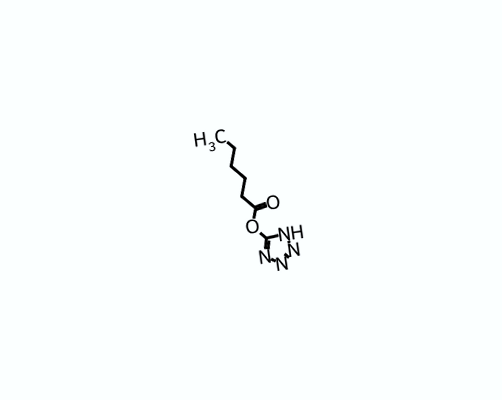 CCCCCC(=O)Oc1nnn[nH]1